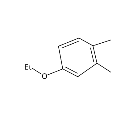 [CH2]COc1ccc(C)c(C)c1